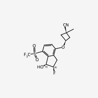 C[C@]1(C#N)C[C@@H](Oc2ccc(S(=O)(=O)C(F)(F)F)c3c2C[C@@H](F)[C@H]3O)C1